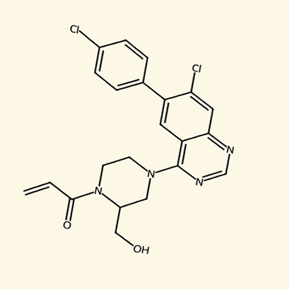 C=CC(=O)N1CCN(c2ncnc3cc(Cl)c(-c4ccc(Cl)cc4)cc23)CC1CO